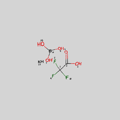 O=C(O)C(F)(F)F.OB(O)O.[KH]